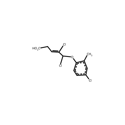 Cc1cc(Cl)ccc1OC(Cl)C(Cl)=CCC(=O)O